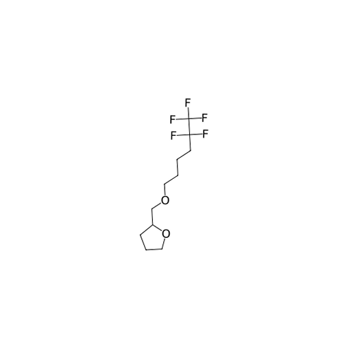 FC(F)(F)C(F)(F)CCCCOCC1CCCO1